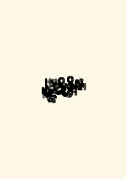 C[Si](C)(C)NC1C(=O)N2C(C(=O)O[Si](C)(C)C)=C(CSc3[nH]nnc3[Si](C)(C)C)CS[C@@H]12